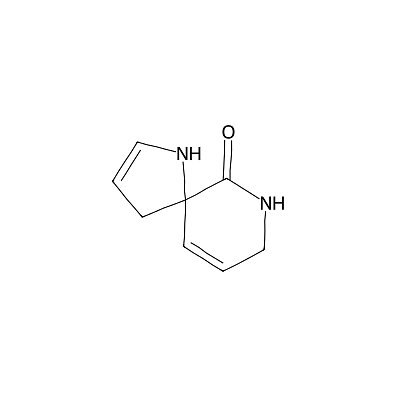 O=C1NCC=CC12CC=CN2